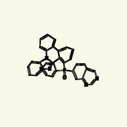 O=P(c1ccncc1)(c1ccc2cncnc2c1)c1cccc2c3ccccc3n3c4ccccc4nc3c12